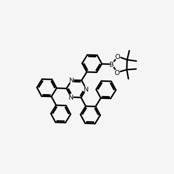 CC1(C)OB(c2cccc(-c3nc(-c4ccccc4-c4ccccc4)nc(-c4ccccc4-c4ccccc4)n3)c2)OC1(C)C